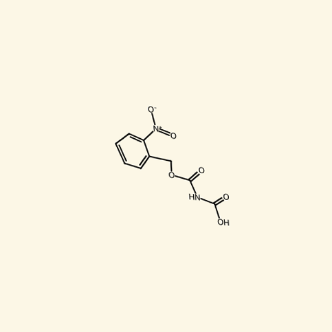 O=C(O)NC(=O)OCc1ccccc1[N+](=O)[O-]